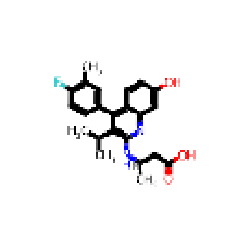 Cc1cc(-c2c(C(C)C)c(N[C@H](C)CC(=O)O)nc3cc(O)ccc23)ccc1F